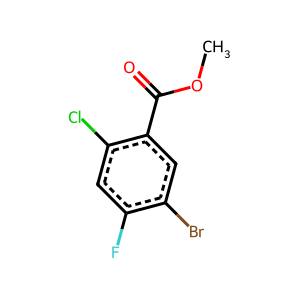 COC(=O)c1cc(Br)c(F)cc1Cl